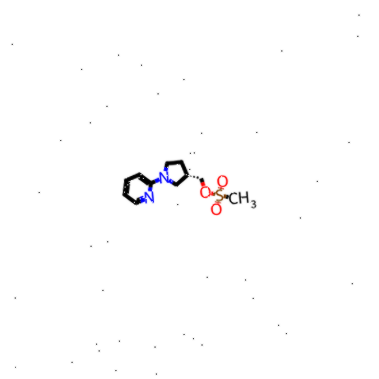 CS(=O)(=O)OC[C@H]1CCN(c2ccccn2)C1